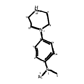 CC(=O)N(C)c1ccc(N2CCNCC2)cc1